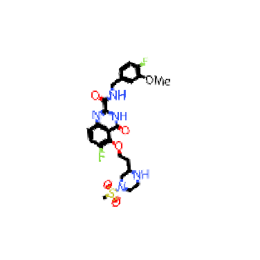 COc1cc(CNC(=O)c2nc3ccc(F)c(OCCC4CN(S(C)(=O)=O)CCN4)c3c(=O)[nH]2)ccc1F